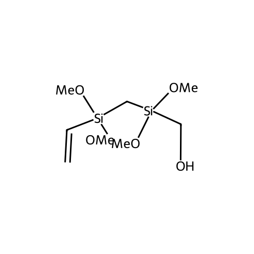 C=C[Si](C[Si](CO)(OC)OC)(OC)OC